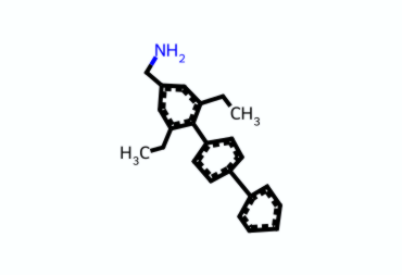 CCc1cc(CN)cc(CC)c1-c1ccc(-c2ccccc2)cc1